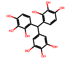 Oc1cc(C(c2ccc(O)c(O)c2O)c2ccc(O)c(O)c2O)cc(O)c1O